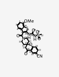 COc1cccc2c(C(=O)N3CCC4(CC3)CC(=O)c3cc(C#N)ccc3O4)c(NC(=O)NS(C)(=O)=O)sc12